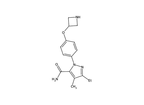 CCc1nn(-c2ccc(OC3CNC3)cc2)c(C(N)=O)c1C